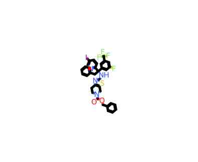 O=C(OCc1ccccc1)N1CCc2nc(NC(Cc3ccccc3)(c3cc(F)cc(C(F)(F)F)c3)c3ccc(I)cn3)sc2C1